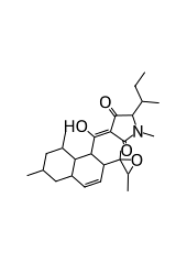 CCC(C)C1C(=O)/C(=C(\O)C2C3C(C)CC(C)CC3C=CC2C2(C)OC2C)C(=O)N1C